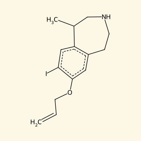 C=CCOc1cc2c(cc1I)C(C)CNCC2